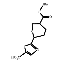 CCOC(=O)c1cnc(C2CCC(C(=O)OC(C)(C)C)CC2)s1